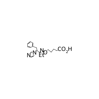 CCC(=NOCCCCC(=O)O)C(Cc1ccccc1)n1ccnc1